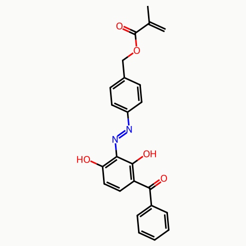 C=C(C)C(=O)OCc1ccc(/N=N/c2c(O)ccc(C(=O)c3ccccc3)c2O)cc1